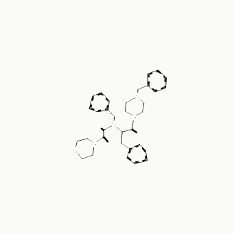 C=C(C(=O)N(Cc1ccccc1)C(Cc1ccccc1)C(=O)N1CCN(Cc2ccccc2)CC1)N1CCNCC1